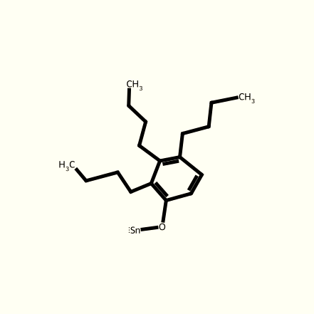 CCCCc1ccc([O][Sn])c(CCCC)c1CCCC